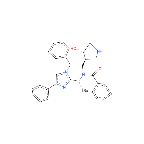 CC(C)(C)[C@H](c1nc(-c2ccccc2)cn1Cc1ccccc1)N(C[C@@H]1CNC[C@H]1O)C(=O)c1ccccc1